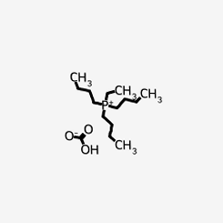 CCCC[P+](CC)(CCCC)CCCC.O=C([O-])O